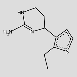 CCc1sccc1C1CCNC(N)=N1